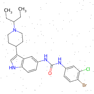 CCC(CC)N1CCC(c2c[nH]c3ccc(NC(=O)Nc4ccc(Br)c(Cl)c4)cc23)CC1